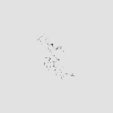 CCN(NC(=O)c1cn(-c2ccccc2)nc1C(F)(F)F)C(=O)C1(C)CCN(C(=O)OC(C)(C)C)CC1